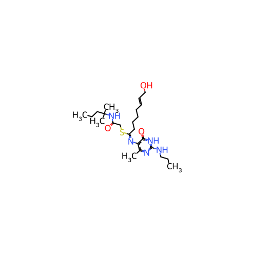 CCCNc1nc(C)c(/N=C(\CCCCC=CCO)SCC(=O)NC(C)(C)CCC)c(=O)[nH]1